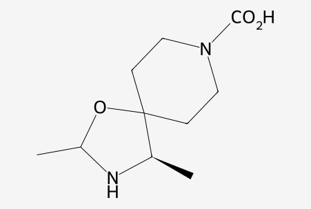 CC1N[C@H](C)C2(CCN(C(=O)O)CC2)O1